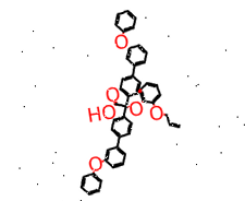 C=CCOc1ccccc1OC(C(=O)O)(c1ccc(-c2cccc(Oc3ccccc3)c2)cc1)c1ccc(-c2cccc(Oc3ccccc3)c2)cc1